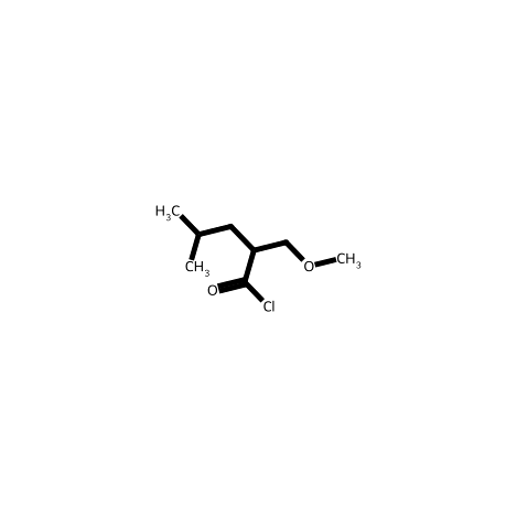 COCC(CC(C)C)C(=O)Cl